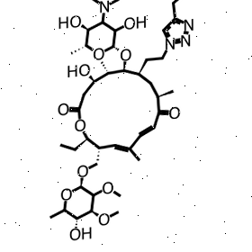 CC[C@H]1OC(=O)C[C@@H](O)[C@H](C)[C@@H](O[C@@H]2O[C@H](C)[C@@H](O)C(N(C)C)C2O)[C@@H](CCn2cc(CO)nn2)C[C@@H](C)C(=O)/C=C/C(C)=C/[C@@H]1CO[C@@H]1OC(C)[C@@H](O)[C@H](OC)C1OC